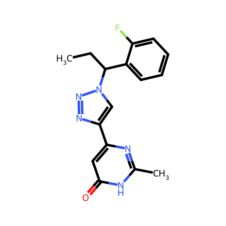 CCC(c1ccccc1F)n1cc(-c2cc(=O)[nH]c(C)n2)nn1